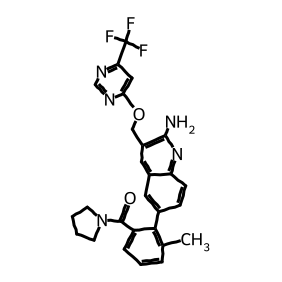 Cc1cccc(C(=O)N2CCCC2)c1-c1ccc2nc(N)c(COc3cc(C(F)(F)F)ncn3)cc2c1